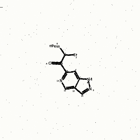 CCCCCC(CC)C(=O)c1cc2[nH]ncc2cn1